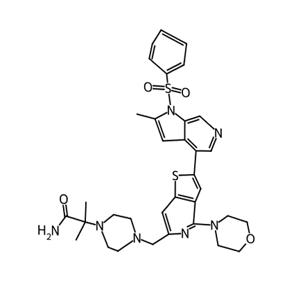 Cc1cc2c(-c3cc4c(N5CCOCC5)nc(CN5CCN(C(C)(C)C(N)=O)CC5)cc4s3)cncc2n1S(=O)(=O)c1ccccc1